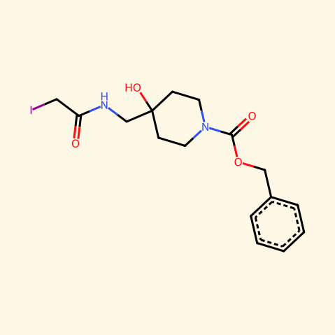 O=C(CI)NCC1(O)CCN(C(=O)OCc2ccccc2)CC1